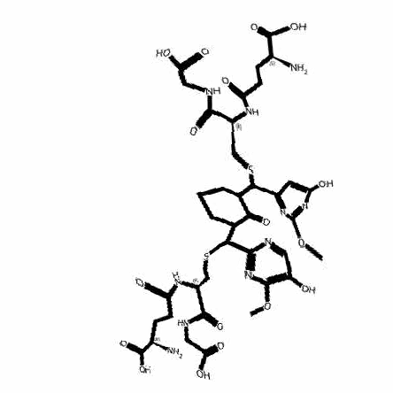 COc1nc(O)cc(C(SC[C@H](NC(=O)CC[C@H](N)C(=O)O)C(=O)NCC(=O)O)C2CCCC(C(SC[C@H](NC(=O)CC[C@@H](N)C(=O)O)C(=O)NCC(=O)O)c3ncc(O)c(OC)n3)C2=O)n1